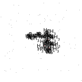 CCCC(CCC)C(=O)O.CCCC(CCC)C(=O)[O-].Cc1cc2c(s1)Nc1ccccc1N=C2N1CCN(C)CC1.Cc1cc2c(s1)Nc1ccccc1N=C2N1CCN(C)CC1.Cc1nc2n(c(=O)c1CCN1CCC(c3noc4cc(F)ccc34)CC1)CCCC2.[Na+]